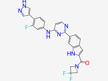 O=C(c1cc2ccc(-c3nccc(Nc4ccc(-c5cn[nH]c5)c(F)c4)n3)cc2[nH]1)N1CC(F)(F)C1